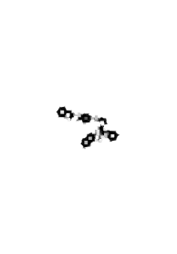 O=C(Cc1ccccc1)NCc1ccc(NC[C@@H]2CCCN2C(=O)[C@@H](Cc2ccccc2)NS(=O)(=O)c2ccc3ccccc3c2)cc1